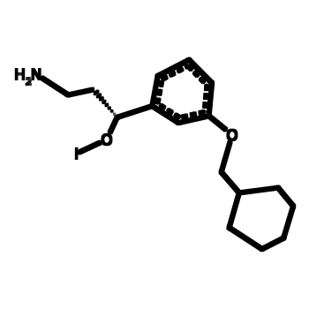 NCC[C@@H](OI)c1cccc(OCC2CCCCC2)c1